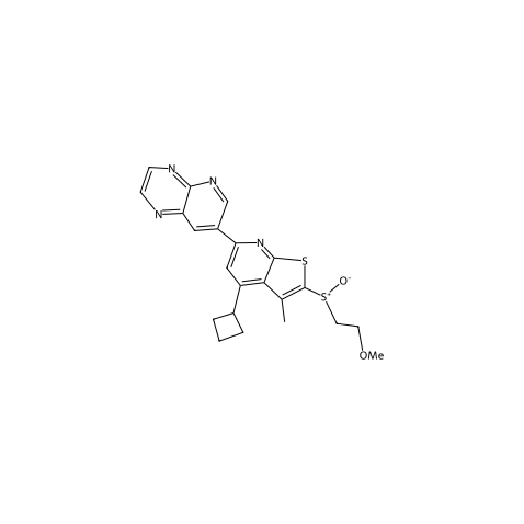 COCC[S+]([O-])c1sc2nc(-c3cnc4nccnc4c3)cc(C3CCC3)c2c1C